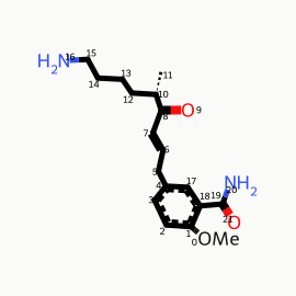 COc1ccc(C/C=C/C(=O)[C@@H](C)CCCCN)cc1C(N)=O